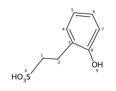 O=S(=O)(O)CCc1ccccc1O